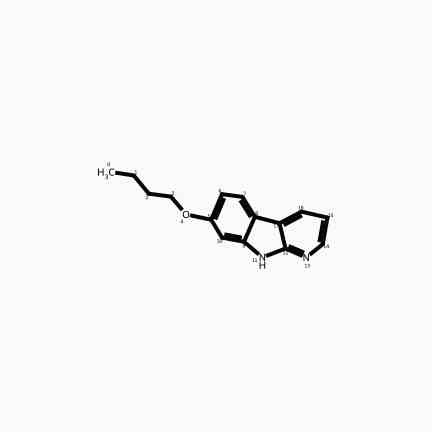 CCCCOc1ccc2c(c1)[nH]c1ncccc12